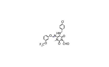 Cn1c(/N=C/Oc2cccc(OC(F)(F)F)c2)c(NCc2ccc(Cl)cc2)c(=O)n(CC=O)c1=O